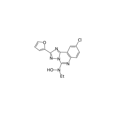 CCN(O)c1nc2ccc(Cl)cc2c2nc(-c3ccco3)nn12